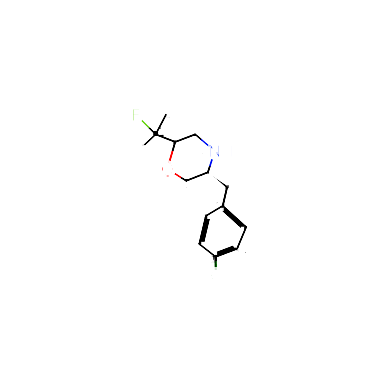 CC(C)(F)C1CN[C@@H](Cc2ccc(Cl)cc2)CO1